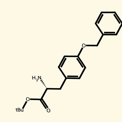 CC(C)(C)OC(=O)[C@H](N)Cc1ccc(OCc2ccccc2)cc1